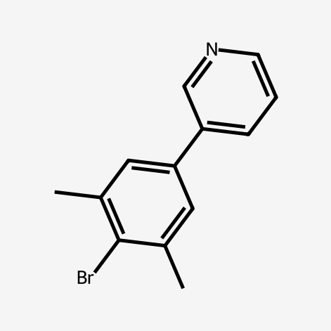 Cc1cc(-c2cccnc2)cc(C)c1Br